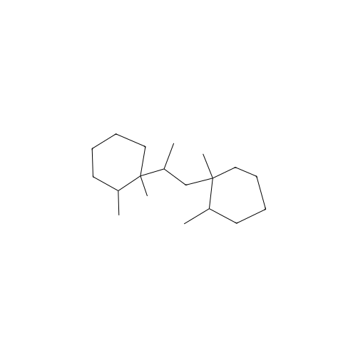 CC1CCCCC1(C)CC(C)C1(C)CCCCC1C